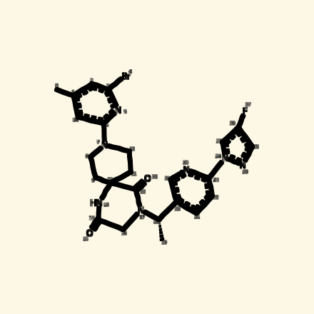 Cc1cc(Br)nc(N2CCC3(CC2)NC(=O)CN([C@@H](C)c2ccc(-n4cc(F)cn4)nc2)C3=O)c1